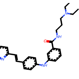 CCN(CC)CCCNC(=O)c1cccc(Nc2ccc(C=Cc3ccccn3)cc2)c1